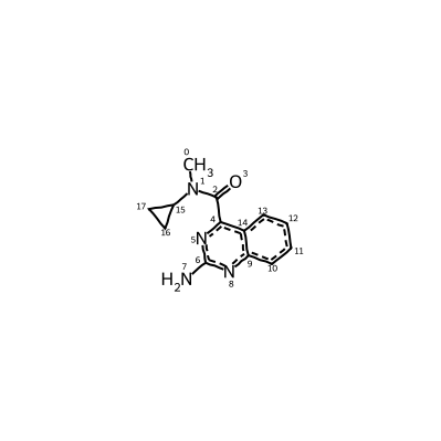 CN(C(=O)c1nc(N)nc2ccccc12)C1CC1